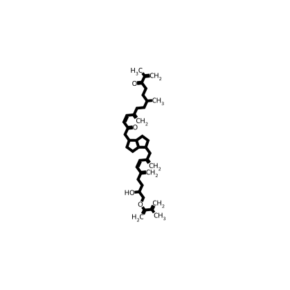 C=C(/C=C\C(=O)CC1CCC2C(CC(=C)/C=C\C(=C)CCC(O)COC(=C)C(=C)C)CCC12)CCC(C)CCC(=O)C(=C)C